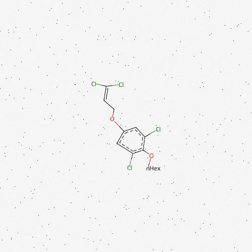 CCCCCCOc1c(Cl)cc(OCC=C(Cl)Cl)cc1Cl